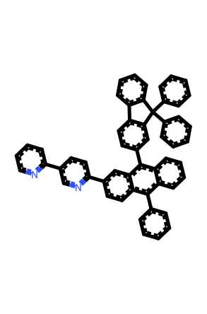 c1ccc(-c2c3ccccc3c(-c3ccc4c(c3)C(c3ccccc3)(c3ccccc3)c3ccccc3-4)c3cc(-c4ccc(-c5ccccn5)cn4)ccc23)cc1